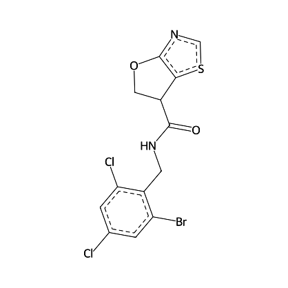 O=C(NCc1c(Cl)cc(Cl)cc1Br)C1COc2ncsc21